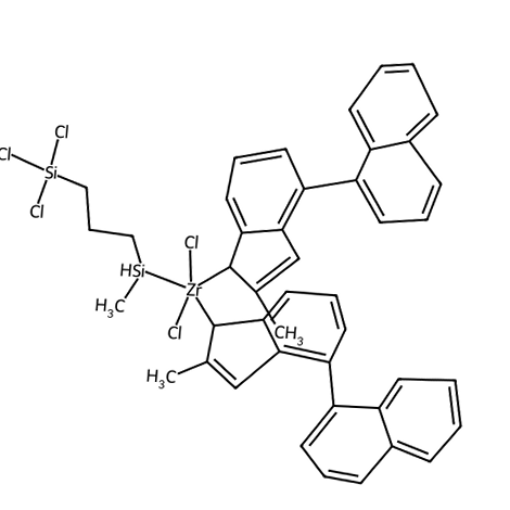 CC1=Cc2c(-c3cccc4ccccc34)cccc2[CH]1[Zr]([Cl])([Cl])([CH]1C(C)=Cc2c(-c3cccc4ccccc34)cccc21)[SiH](C)CCC[Si](Cl)(Cl)Cl